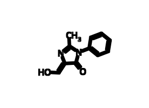 CC1=N/C(=C\O)C(=O)N1c1ccccc1